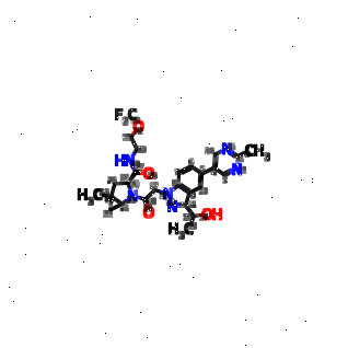 Cc1ncc(-c2ccc3c(c2)c(C(C)O)nn3CC(=O)N2C3C[C@]3(C)C[C@H]2C(=O)NCCOC(F)(F)F)cn1